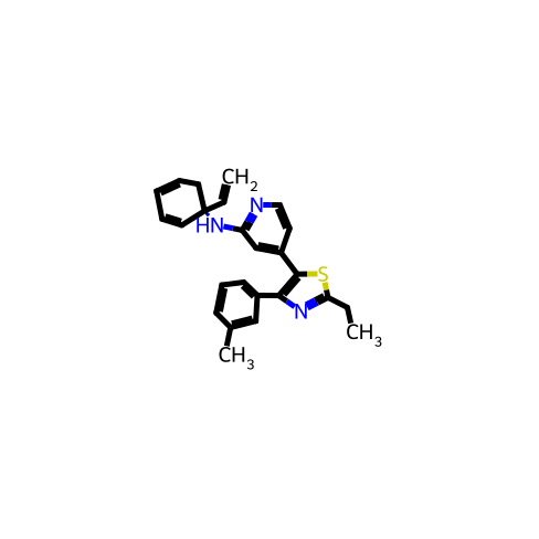 C=C[C@@]1(Nc2cc(-c3sc(CC)nc3-c3cccc(C)c3)ccn2)C=CC=CC1